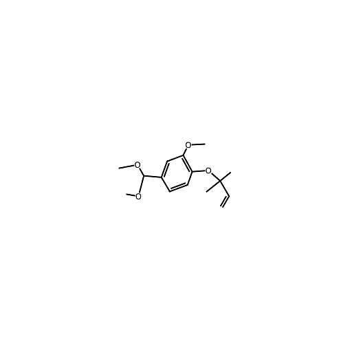 C=CC(C)(C)Oc1ccc(C(OC)OC)cc1OC